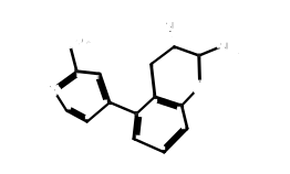 COc1cc(-c2cccc3c2C[C@H](N)C(N)O3)ccn1